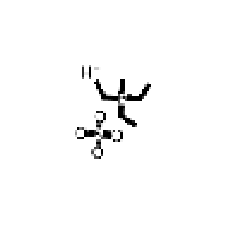 CC[P+](C)(CC)CC.O=S(=O)([O-])[O-].[H+]